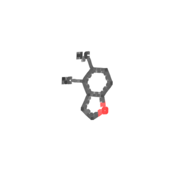 Cc1ccc2occc2c1C#N